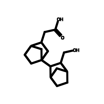 O=C(O)CC1CC2(C3C4CCC(C4)C3CO)CCC1C2